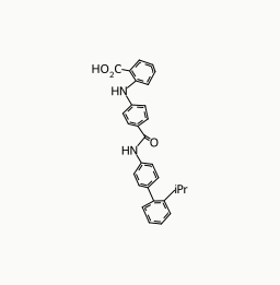 CC(C)c1ccccc1-c1ccc(NC(=O)c2ccc(Nc3ccccc3C(=O)O)cc2)cc1